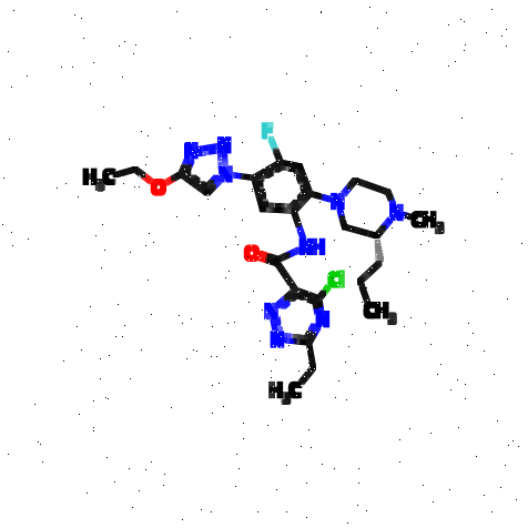 CCC[C@@H]1CN(c2cc(F)c(-n3cc(OCC)nn3)cc2NC(=O)c2nnc(CC)nc2Cl)CCN1C